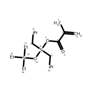 C=C(C)C(=O)O[Si](CC(C)C)(CC(C)C)O[Si](CC)(CC)CC